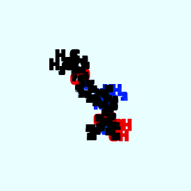 Cc1ccc(OC(=O)N2CCC(Cc3nc(N)c4ncn(CO[C@H](C(=O)NC5CC5)[C@H](O)CO)c4n3)CC2)cc1C